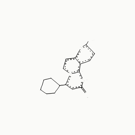 CC(C)(C)c1ccc2c(ccn3c(C4CCCCC4)cc(=O)nc23)n1